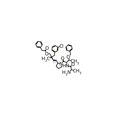 CC(N)C(=O)NC(C(=O)N1CCCC1/C=C/[C@](C)(COC(=O)Cc1ccccc1)Cc1cccc(Cl)c1)C(C)OCc1ccccc1